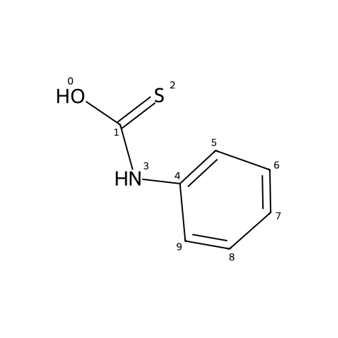 OC(=S)Nc1ccccc1